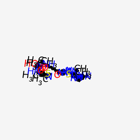 Cc1ncsc1-c1ccc([C@H](C)NC(=O)[C@@H]2C[C@@H](O)CN2C(=O)[C@@H](NC(=O)CCCCCCCC(=O)N2CCN(c3nnc(-c4cnc(-c5ccc6cc(C#N)cnn56)cc4NC(C)C)s3)CC2)C(C)(C)C)cc1